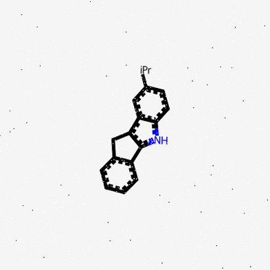 CC(C)c1ccc2[nH]c3c(c2c1)Cc1ccccc1-3